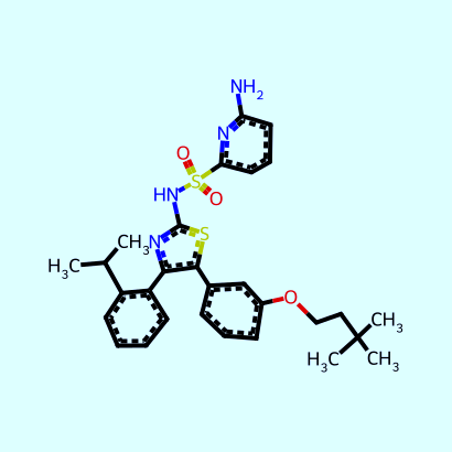 CC(C)c1ccccc1-c1nc(NS(=O)(=O)c2cccc(N)n2)sc1-c1cccc(OCCC(C)(C)C)c1